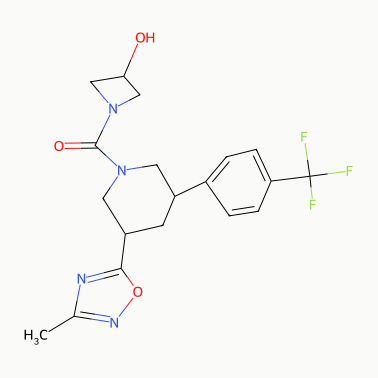 Cc1noc(C2CC(c3ccc(C(F)(F)F)cc3)CN(C(=O)N3CC(O)C3)C2)n1